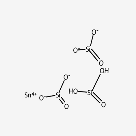 O=[Si](O)O.O=[Si]([O-])[O-].O=[Si]([O-])[O-].[Sn+4]